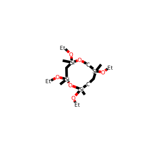 CCO[Si]1(C)CC[Si](C)(OCC)O[Si](C)(OCC)C[Si](C)(OCC)OC1